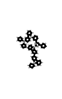 c1ccc(-c2cc(-c3cccc(-n4c5ccccc5c5cc(N(c6ccccc6)c6ccccc6)ccc54)c3)nc(-n3c4ccccc4c4cc(-c5ccc6c(c5)c5ccccc5n6-c5ccccc5)ccc43)n2)cc1